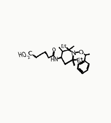 CCC1(C)CC(NC(=O)CCCC(=O)O)C(C)C(C)(CC)N1OC(C)c1ccccc1